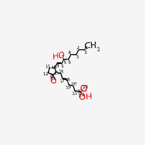 CCCCCCC(O)C=CC1CCC(=O)C1CC=CCCCC(=O)O